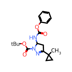 CC(C)(C)OC(=O)N1N=C(C2(C)CC2)CC1NC(=O)Oc1ccccc1